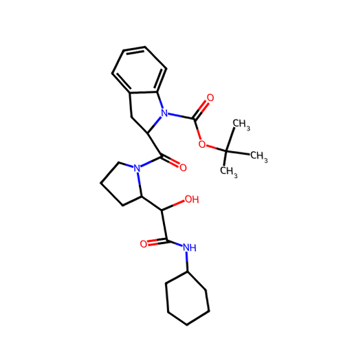 CC(C)(C)OC(=O)N1c2ccccc2CC1C(=O)N1CCCC1C(O)C(=O)NC1CCCCC1